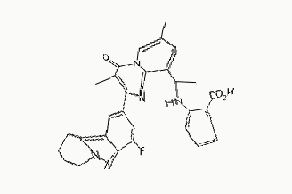 Cc1cc(C(C)Nc2ccccc2C(=O)O)c2nc(-c3cc(F)c4nn5c(c4c3)CCCC5)c(C)c(=O)n2c1